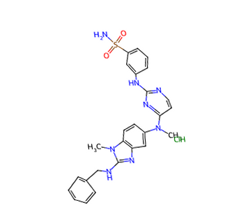 CN(c1ccc2c(c1)nc(NCc1ccccc1)n2C)c1ccnc(Nc2cccc(S(N)(=O)=O)c2)n1.Cl